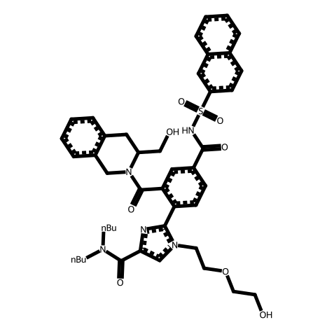 CCCCN(CCCC)C(=O)c1cn(CCOCCO)c(-c2ccc(C(=O)NS(=O)(=O)c3ccc4ccccc4c3)cc2C(=O)N2Cc3ccccc3CC2CO)n1